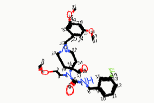 COCCN(C(=O)NCc1cccc(F)c1)C1(C=O)CCN(Cc2cc(OC)cc(OC)c2)CC1